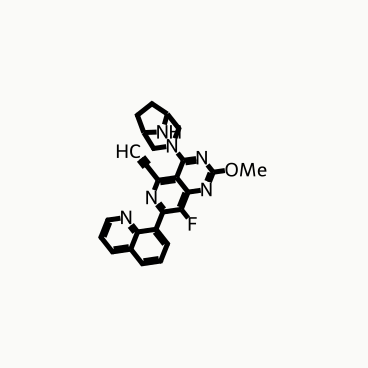 C#Cc1nc(-c2cccc3cccnc23)c(F)c2nc(OC)nc(N3CC4CCC(C3)N4)c12